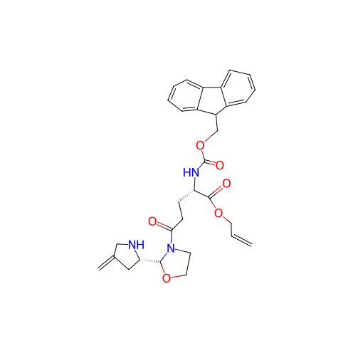 C=CCOC(=O)[C@H](CCC(=O)N1CCOC1[C@@H]1CC(=C)CN1)NC(=O)OCC1c2ccccc2-c2ccccc21